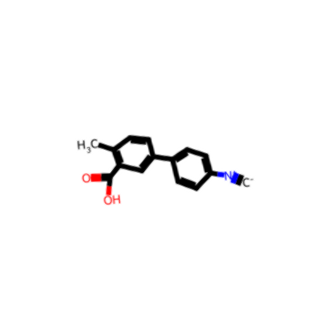 [C-]#[N+]c1ccc(-c2ccc(C)c(C(=O)O)c2)cc1